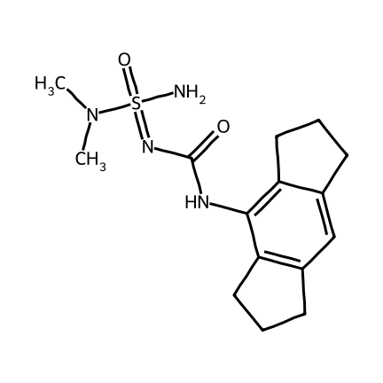 CN(C)S(N)(=O)=NC(=O)Nc1c2c(cc3c1CCC3)CCC2